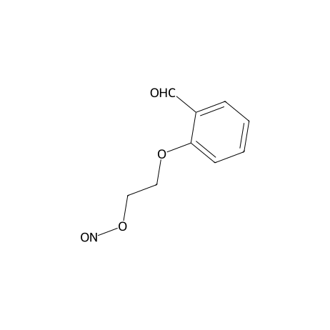 O=Cc1ccccc1OCCON=O